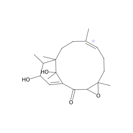 C/C1=C/CCC2(C)OC2C(=O)C2=CC(O)C(C)C(C)(CC1)C2(C)O